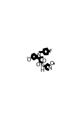 COc1ccc2c(c1)c(C(=O)C(=O)Nc1ccnc(OC)c1)c(C)n2Cc1ccc(F)cc1